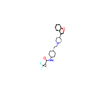 O=C(NC1CCC(CCN2CCC(c3coc4ccccc34)CC2)CC1)C1CC1(F)F